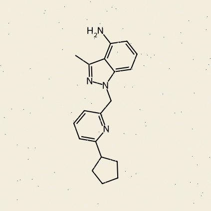 Cc1nn(Cc2cccc(C3CCCC3)n2)c2cccc(N)c12